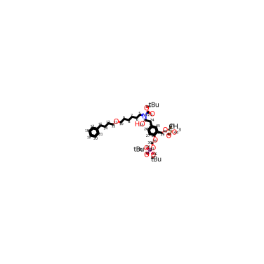 CC(C)(C)OC(=O)N(CCCCCCOCCCCc1ccccc1)C(O)Cc1ccc(OCOP(=O)(OC(C)(C)C)OC(C)(C)C)c(COS(C)(=O)=O)c1